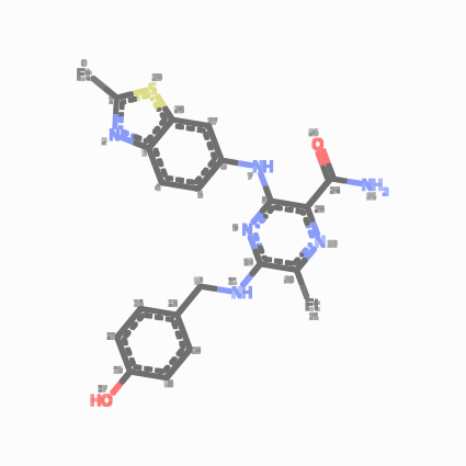 CCc1nc2ccc(Nc3nc(NCc4ccc(O)cc4)c(CC)nc3C(N)=O)cc2s1